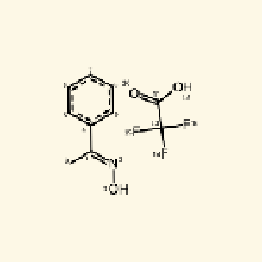 CC(=NO)c1ccccc1.O=C(O)C(F)(F)F